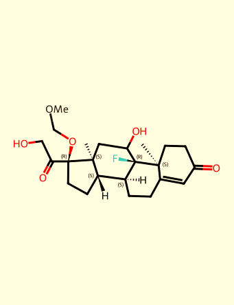 COCO[C@]1(C(=O)CO)CC[C@H]2[C@@H]3CCC4=CC(=O)CC[C@]4(C)[C@@]3(F)C(O)C[C@@]21C